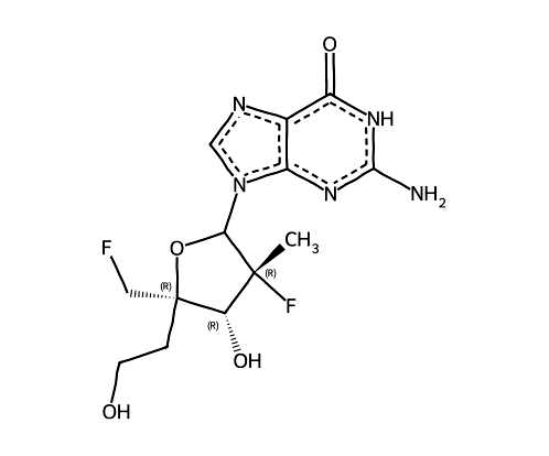 C[C@]1(F)C(n2cnc3c(=O)[nH]c(N)nc32)O[C@](CF)(CCO)[C@H]1O